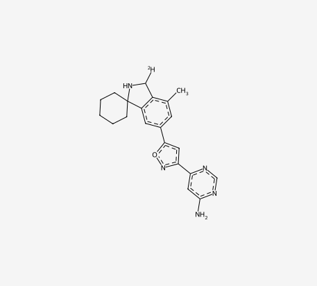 [2H]C1NC2(CCCCC2)c2cc(-c3cc(-c4cc(N)ncn4)no3)cc(C)c21